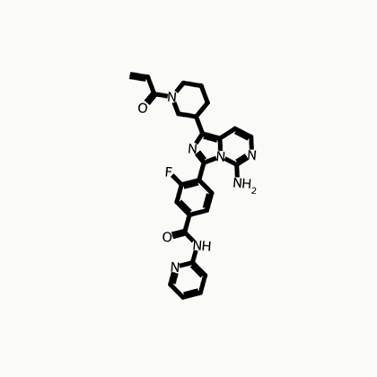 C=CC(=O)N1CCCC(c2nc(-c3ccc(C(=O)Nc4ccccn4)cc3F)n3c(N)nccc23)C1